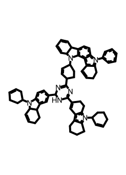 C1=CC2c3ccc4c(c5c(n4-c4ccccc4)CCC=C5)c3N(C3C=CC(C4=NC(c5ccc6c(c5)C5CCC=CC5N6C5CC=CCC5)NC(C5=Cc6c7c(n(C8C=CCCC8)c6CC5)CCCC7)=N4)CC3)C2C=C1